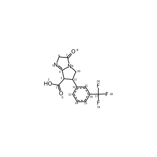 O=C(O)C1C2=NCC(=O)N2CC1c1cccc(C(F)(F)F)c1